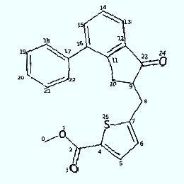 COC(=O)c1ccc(CC2Cc3c(cccc3-c3ccccc3)C2=O)s1